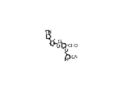 Cc1c(COc2cc(OCc3cncc(C#N)c3)c(C=O)cc2Cl)cccc1-c1ccc2scnc2c1